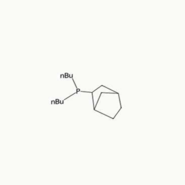 CCCCP(CCCC)C1CC2CCC1C2